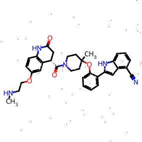 CNCCOc1ccc2c(c1)[C@@H](C(=O)N1CCC(C)(Oc3ccccc3-c3cc4c(C#N)cccc4[nH]3)CC1)CC(=O)N2